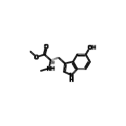 CN[C@@H](Cc1c[nH]c2ccc(O)cc12)C(=O)OC